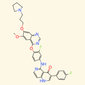 COc1cc2c(Oc3ccc(Nc4nccc5[nH]cc(-c6ccc(F)cc6)c(=O)c45)cc3F)ncnc2cc1OCCCN1CCCC1